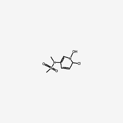 CN(C1=CN(O)C(Cl)C=C1)S(C)(=O)=O